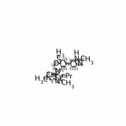 CCCc1c(C)nc(CN(C)C)nc1N1CCOc2c(C)cc(-c3ccc4nc(C)[nH]c4c3)cc2C1